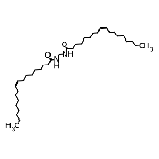 CCCCCCCC/C=C\CCCCCCCC(=O)NCNC(=O)CCCCCCC/C=C\CCCCCCCC